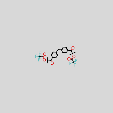 CC(C)(OC(=O)C(F)(F)F)C(=O)c1ccc(Cc2ccc(C(=O)C(C)(C)OC(=O)C(F)(F)F)cc2)cc1